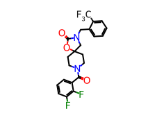 O=C1OC2(CCN(C(=O)c3cccc(F)c3F)CC2)CN1Cc1ccccc1C(F)(F)F